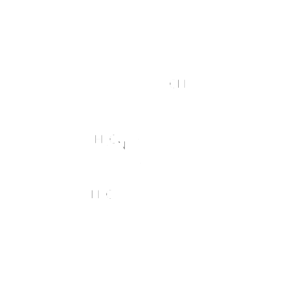 CC#Cc1ccc2c3ccc(C)cc3n(C)c2c1